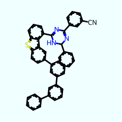 N#Cc1cccc(C2=NC(c3ccccc3)NC(c3cccc4sc5ccc(-c6cccc(-c7cccc(-c8ccccc8)c7)c6)cc5c34)=N2)c1